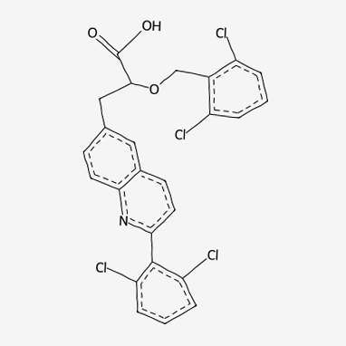 O=C(O)C(Cc1ccc2nc(-c3c(Cl)cccc3Cl)ccc2c1)OCc1c(Cl)cccc1Cl